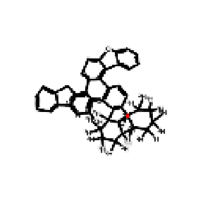 [2H]C1C([2H])([2H])C([2H])([2H])C([2H])([2H])C([2H])([2H])C1([2H])c1ccc(-c2c(-c3c(C)c(C)cc4c3Cc3ccccc3-4)ccc3oc4ccccc4c23)c(-c2ccnnn2)c1C1([2H])C([2H])C([2H])([2H])C([2H])([2H])C([2H])([2H])C1([2H])[2H]